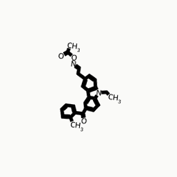 CCn1c2ccc(CC=NOC(C)=O)cc2c2cc(C(=O)c3ccccc3C)ccc21